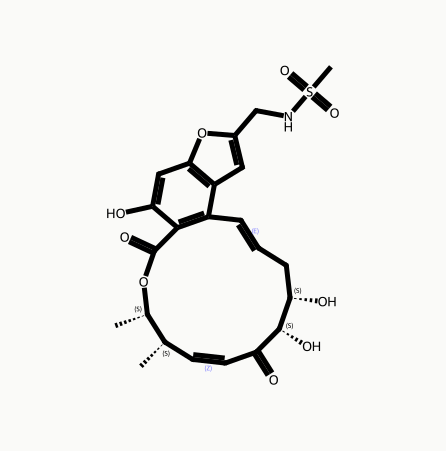 C[C@@H]1OC(=O)c2c(O)cc3oc(CNS(C)(=O)=O)cc3c2/C=C/C[C@H](O)[C@H](O)C(=O)/C=C\[C@@H]1C